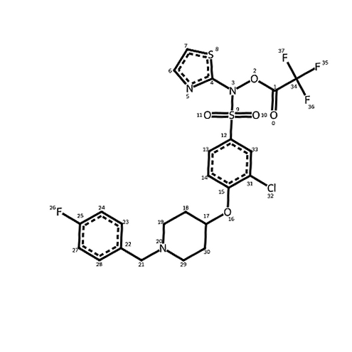 O=C(ON(c1nccs1)S(=O)(=O)c1ccc(OC2CCN(Cc3ccc(F)cc3)CC2)c(Cl)c1)C(F)(F)F